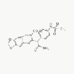 CCOC(=O)c1cc2cc3c(cc2nc1N(C(N)=O)c1ccc(NS(C)(=O)=O)cc1)OCO3